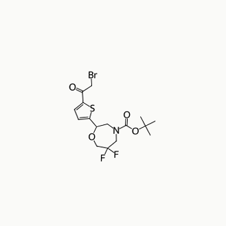 CC(C)(C)OC(=O)N1CC(c2ccc(C(=O)CBr)s2)OCC(F)(F)C1